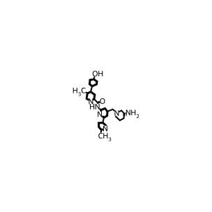 Cc1ccc(-c2cc(CN3CCC[C@H](N)C3)cc(NC(=O)c3cc(-c4ccc(O)cc4)c(C)cn3)n2)cn1